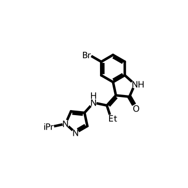 CCC(Nc1cnn(C(C)C)c1)=C1C(=O)Nc2ccc(Br)cc21